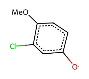 COc1ccc([O])cc1Cl